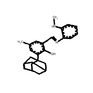 CNc1ccccc1N=Cc1cc(C)cc(C23CC4CC(CC(C4)C2)C3)c1O